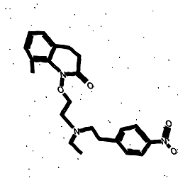 CCN(CCON1C(=O)CCc2cccc(C)c21)CCc1ccc([N+](=O)[O-])cc1